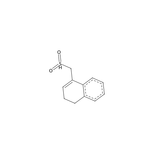 O=[SH](=O)CC1=CCCc2ccccc21